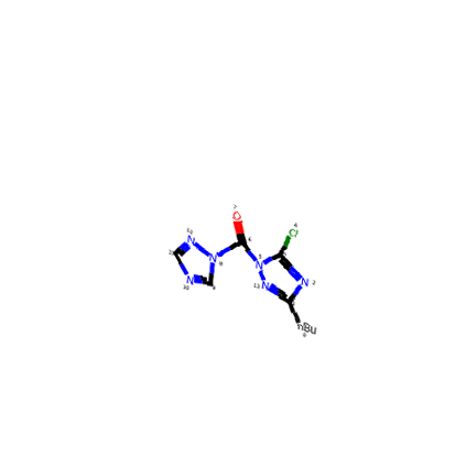 CCCCc1nc(Cl)n(C(=O)n2cncn2)n1